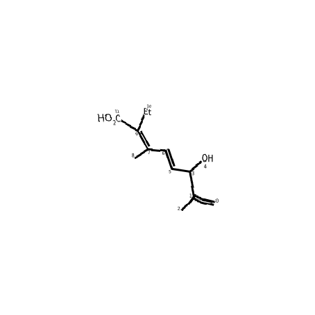 C=C(C)C(O)C=CC(C)=C(CC)C(=O)O